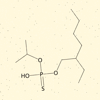 CCCCC(CC)COP(O)(=S)OC(C)C